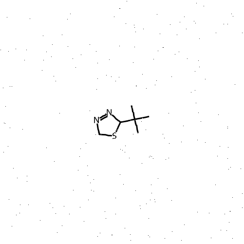 CC(C)(C)C1N=NCS1